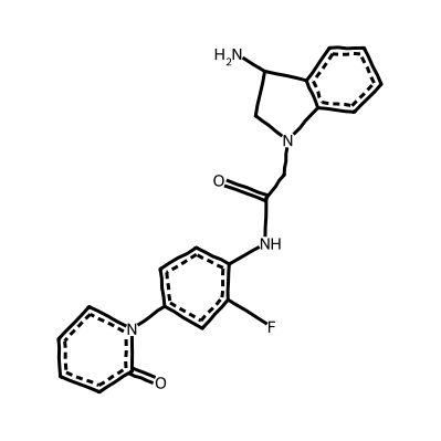 NC1CN(CC(=O)Nc2ccc(-n3ccccc3=O)cc2F)c2ccccc21